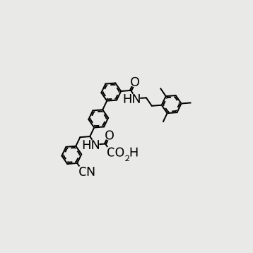 Cc1cc(C)c(CCNC(=O)c2cccc(-c3ccc(C(Cc4cccc(C#N)c4)NC(=O)C(=O)O)cc3)c2)c(C)c1